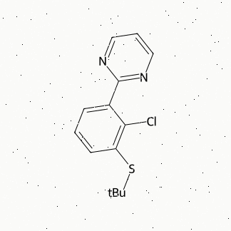 CC(C)(C)Sc1cccc(-c2ncccn2)c1Cl